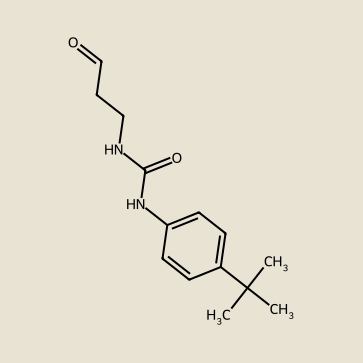 CC(C)(C)c1ccc(NC(=O)NCCC=O)cc1